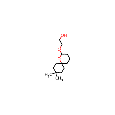 CC1(C)CCC2(CCCC(OCCO)O2)CC1